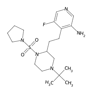 CC(C)(C)N1CCN(S(=O)(=O)N2CCCC2)C(CCc2c(N)cncc2F)C1